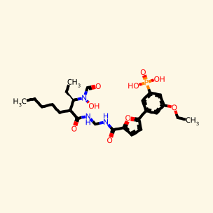 CCCCCC(C(=O)NCNC(=O)c1ccc(-c2cc(OCC)cc(P(=O)(O)O)c2)o1)[C@@H](CC)N(O)C=O